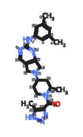 Cc1cc(C)cc(Nc2ncc3c(n2)CN([C@@H]2CCN(C(=O)c4nn[nH]c4C)[C@H](C)C2)C3)c1